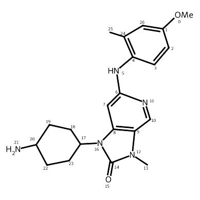 COc1ccc(Nc2cc3c(cn2)n(C)c(=O)n3C2CCC(N)CC2)c(C)c1